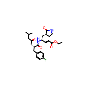 CCOC(=O)/C=C/[C@H](C[C@@H]1CCNC1=O)NC(=O)[C@@H](CC(=O)CC(C)C)Cc1ccc(F)cc1